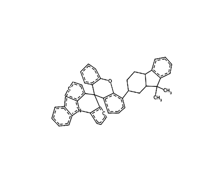 CC1(C)c2ccccc2C2CCC(c3cccc4c3Oc3ccccc3C43c4ccccc4-n4c5ccccc5c5cccc3c54)CC21